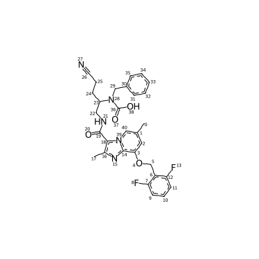 Cc1cc(OCc2c(F)cccc2F)c2nc(C)c(C(=O)NCC(CCC#N)N(Cc3ccccc3)C(=O)O)n2c1